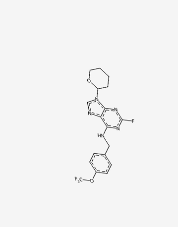 Fc1nc(NCc2ccc(OC(F)(F)F)cc2)c2ncn(C3CCCCO3)c2n1